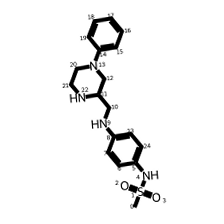 CS(=O)(=O)Nc1ccc(NCC2CN(c3ccccc3)CCN2)cc1